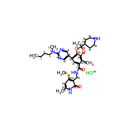 CCCCN(C)c1ncc(-c2cc(C(=O)NCc3c(SC)cc(C)[nH]c3=O)c(C)c3c2OC(C)(C2CCNCC2)O3)cn1.Cl